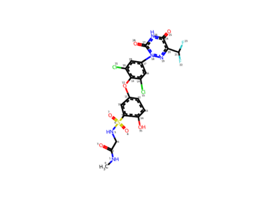 CNC(=O)CNS(=O)(=O)c1cc(Oc2c(Cl)cc(-n3nc(C(F)F)c(=O)[nH]c3=O)cc2Cl)ccc1O